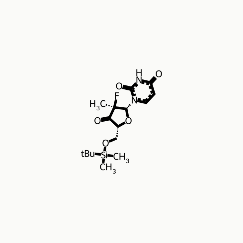 CC(C)(C)[Si](C)(C)OC[C@H]1O[C@@H](n2ccc(=O)[nH]c2=O)[C@](C)(F)C1=O